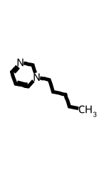 CCCCCN1C=CC=NC1